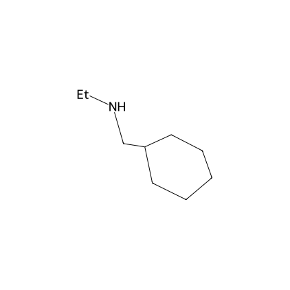 [CH2]CNCC1CCCCC1